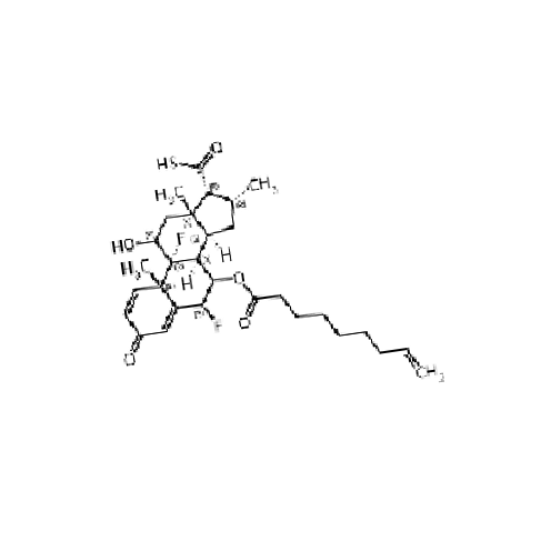 C=CCCCCCCC(=O)OC1[C@@H]2[C@@H]3C[C@@H](C)[C@@H](C(=O)S)[C@@]3(C)C[C@H](O)[C@]2(F)[C@@]2(C)C=CC(=O)C=C2[C@@H]1F